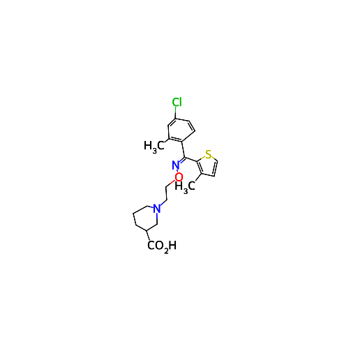 Cc1cc(Cl)ccc1C(=NOCCN1CCCC(C(=O)O)C1)c1sccc1C